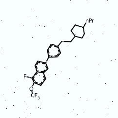 CCCC1CCC(CCc2ccc(-c3ccc4c(F)c(OC(F)(F)F)ccc4c3)cc2)CC1